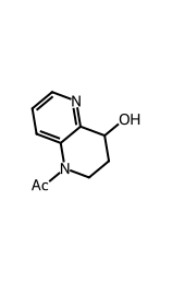 CC(=O)N1CCC(O)c2ncccc21